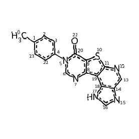 Cc1ccc(-n2cnc3c(sc4ncc5nc[nH]c5c43)c2=O)cc1